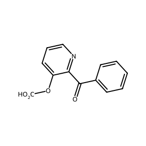 O=C(O)Oc1cccnc1C(=O)c1ccccc1